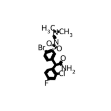 CN(C)C=NS(=O)(=O)c1cc(C(C(N)=O)c2ccc(F)cc2Cl)ccc1Br